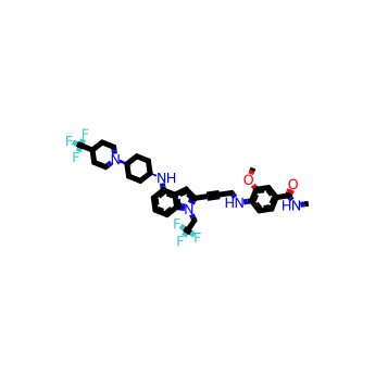 CNC(=O)c1ccc(NCC#Cc2cc3c(N[C@H]4CC[C@H](N5CCC(C(F)(F)F)CC5)CC4)cccc3n2CC(F)(F)F)c(OC)c1